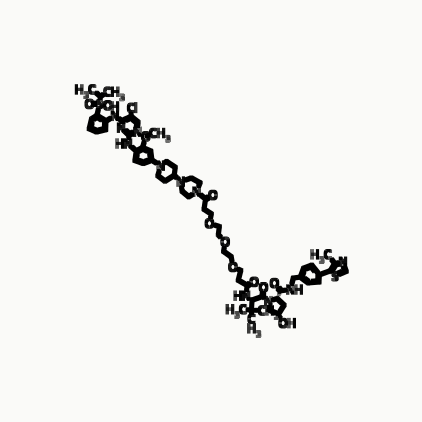 COc1cc(N2CCC(N3CCN(C(=O)CCOCCOCCOCCC(=O)N[C@H](C(=O)N4C[C@H](O)C[C@H]4C(=O)NCc4ccc(-c5scnc5C)cc4)C(C)(C)C)CC3)CC2)ccc1Nc1ncc(Cl)c(Nc2ccccc2S(=O)(=O)C(C)C)n1